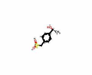 C[C@@H](O)c1ccc(C[SH](=O)=O)cc1